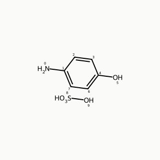 Nc1ccc(O)cc1.O=S(=O)(O)O